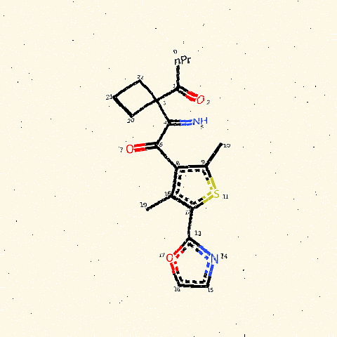 CCCC(=O)C1(C(=N)C(=O)c2c(C)sc(-c3ncco3)c2C)CCC1